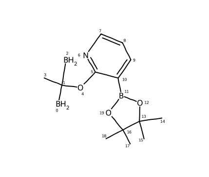 BC(B)(C)Oc1ncccc1B1OC(C)(C)C(C)(C)O1